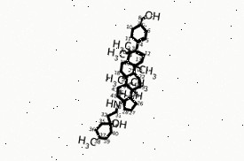 CC1(C)C(C2=CC[C@H](CO)CC2)=CC[C@@]2(C)C1CC[C@]1(C)C2CC[C@@H]2[C@H]3CCC[C@]3(NCC[C@]3(O)CC[C@@H](C)CC3)CC[C@]21C